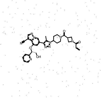 C=CC(=O)N1CC(C(=O)N2CCC(n3nnc(-c4cc(O[C@H](CO)c5ccccn5)c5c(C#N)cnn5c4)c3C)CC2)C1